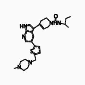 CCC(C)NC(=O)N1CC=C(c2c[nH]c3ncc(-c4ccc(CN5CCN(C)CC5)s4)cc23)CC1